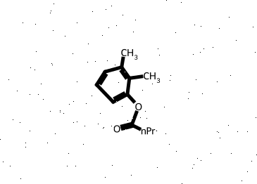 CC[CH]C(=O)Oc1cccc(C)c1C